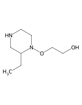 CCC1CNCCN1OCCO